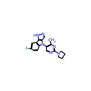 Cc1nc(N2CCCC2)ncc1-n1c2ccc(F)cc2c2[nH]ncc21